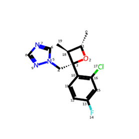 C[C@@H]1O[C@@](Cn2cncn2)(c2ccc(F)cc2Cl)[C@H]1C